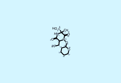 CC(C)CC1C(=O)NC(C)(C(=O)O)C(=O)N1OC1CCCCO1